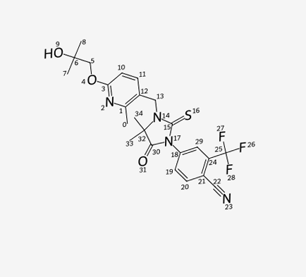 Cc1nc(OCC(C)(C)O)ccc1CN1C(=S)N(c2ccc(C#N)c(C(F)(F)F)c2)C(=O)C1(C)C